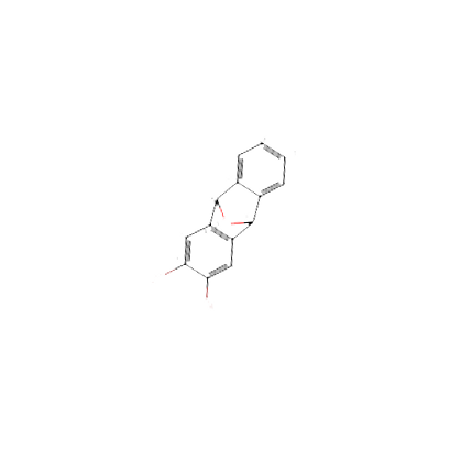 Brc1cc2c(cc1Br)C1OC2c2ccccc21